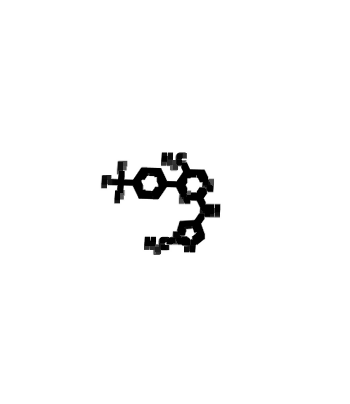 Cc1cnc(Nc2cnn(C)c2)nc1-c1ccc(C(F)(F)F)cc1